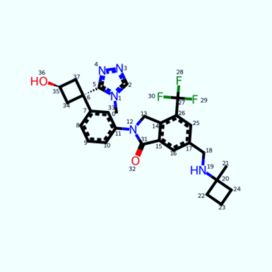 Cn1cnnc1[C@]1(c2cccc(N3Cc4c(cc(CNC5(C)CCC5)cc4C(F)(F)F)C3=O)c2)C[C@@H](O)C1